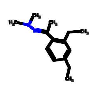 CCc1ccc(/C(C)=N/N(C)C)c(CC)c1